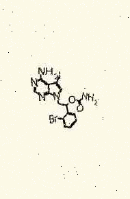 NC(=O)OC(Cn1cc(I)c2c(N)ncnc21)c1ccccc1Br